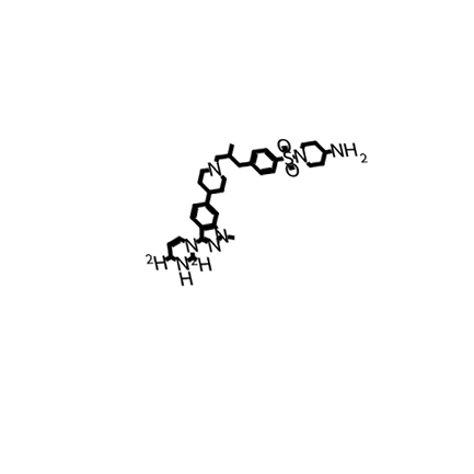 [2H]C1C=CN(c2nn(C)c3cc(C4CCN(CC(C)Cc5ccc(S(=O)(=O)N6CCC(N)CC6)cc5)CC4)ccc23)C([2H])N1